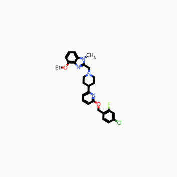 CCOc1cccc2c1nc(CN1CCC(c3cccc(OCc4ccc(Cl)cc4F)n3)CC1)n2C